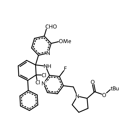 COc1nc(C2(Nc3nccc(CN4CCCC4C(=O)OC(C)(C)C)c3F)C=CC=C(c3ccccc3)C2(Cl)Cl)ccc1C=O